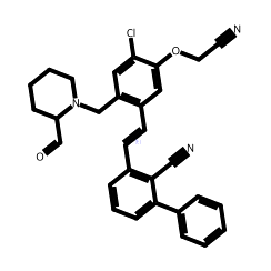 N#CCOc1cc(/C=C/c2cccc(-c3ccccc3)c2C#N)c(CN2CCCCC2C=O)cc1Cl